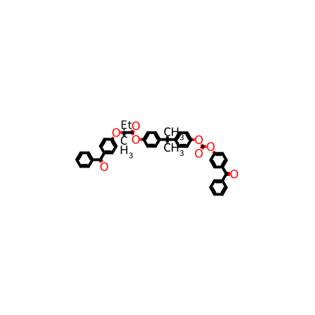 CC[C@](C)(Oc1ccc(C(=O)c2ccccc2)cc1)C(=O)Oc1ccc(C(C)(C)c2ccc(OC(=O)Oc3ccc(C(=O)c4ccccc4)cc3)cc2)cc1